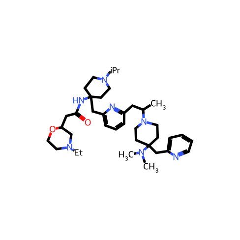 CCN1CCOC(CC(=O)NC2(Cc3cccc(CC(C)N4CCC(Cc5ccccn5)(N(C)C)CC4)n3)CCN(C(C)C)CC2)C1